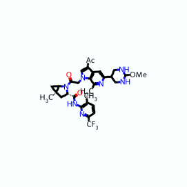 COC1NCC(c2cc3c(C(C)=O)cn(CC(=O)N4C5C[C@]5(C)C[C@H]4C(=O)Nc4nc(C(F)(F)F)ccc4C)c3c(C)n2)CN1